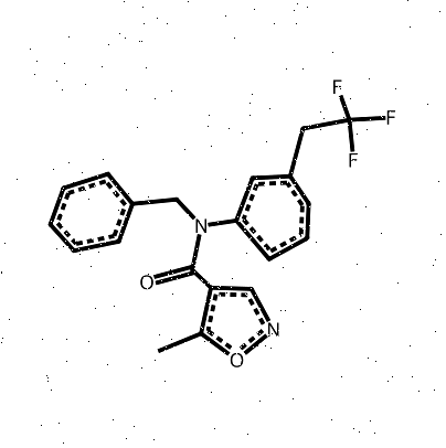 Cc1oncc1C(=O)N(Cc1ccccc1)c1cccc(CC(F)(F)F)c1